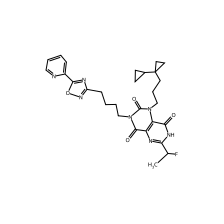 CC(F)c1nc2c(=O)n(CCCCc3noc(-c4ccccn4)n3)c(=O)n(CCCC3(C4CC4)CC3)c2c(=O)[nH]1